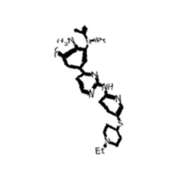 C=C(C)N(c1cc(-c2ccnc(Nc3ccc(SC4CCN(CC)CC4)cn3)n2)cc(F)c1N)C(C)C